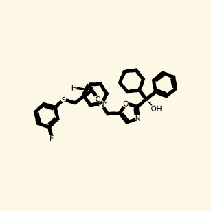 O[C@](c1ccccc1)(c1ncc(C[N+]23CCC(CC2)[C@@H](CSc2cccc(F)c2)C3)o1)C1CCCCC1